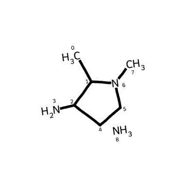 CC1C(N)CCN1C.N